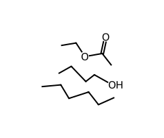 CCCCCC.CCCCO.CCOC(C)=O